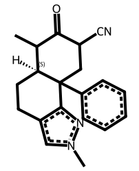 CC1C(=O)C(C#N)CC2(c3ccccc3)c3nn(C)cc3CC[C@@H]12